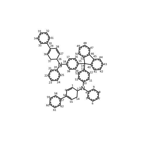 C1=CC(N(c2ccccc2)c2ccc(C3(c4ccc(N(c5ccccc5)C5C=CC(c6ccccc6)=CC5)cc4)c4ccccc4-c4ccccc43)cc2)CC=C1c1ccccc1